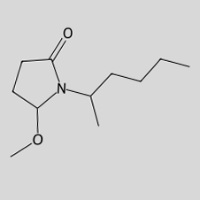 CCCCC(C)N1C(=O)CCC1OC